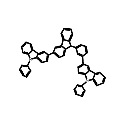 c1ccc(-n2c3ccccc3c3cc(-c4cccc(C5c6ccccc6-c6cc(-c7ccc8c(c7)c7ccccc7n8-c7ccccc7)ccc65)c4)ccc32)cc1